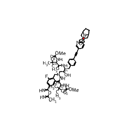 COC(=O)N[C@H](C(=O)N[C@@H](Cc1ccc(C#Cc2ccc(N3CC4CCC(C3)N4C3COC3)nc2)cc1)[C@@H](O)CN(Cc1c(F)cc(C(=N)OC(C)=N)cc1F)NC(=O)[C@@H](NC(=O)OC)C(C)(C)C(F)(F)F)C(C)(C)C(F)(F)F